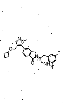 Cn1ncc(COC2CCC2)c1-c1ccc2c(c1)CN([C@H](CN)Cc1cc(F)cc(F)c1)C2=O